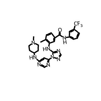 Cc1ccc(C(=O)Nc2cccc(C(F)(F)F)c2)cc1Nc1ncnn1-c1cc(NC2CCN(C)CC2)ncn1